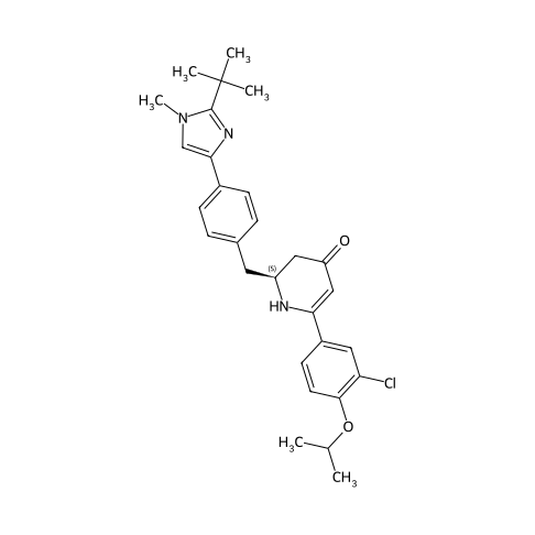 CC(C)Oc1ccc(C2=CC(=O)C[C@H](Cc3ccc(-c4cn(C)c(C(C)(C)C)n4)cc3)N2)cc1Cl